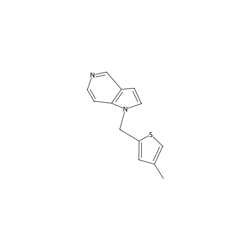 Cc1csc(Cn2ccc3cnccc32)c1